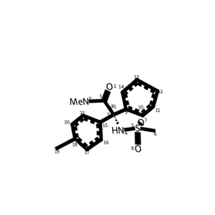 CNC(=O)[C@@](NS(C)(=O)=O)(c1ccccc1)c1ccc(C)cc1